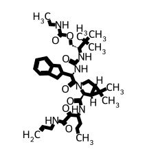 C=CCNC(=O)C(=O)C(CCC)NC(=O)[C@@H]1[C@@H]2[C@H](CN1C(=O)[C@@H](NC(=O)N[C@H](COC(=O)NCC)C(C)(C)C)C1Cc3ccccc3C1)C2(C)C